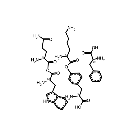 NC(=O)CC[C@H](N)C(=O)OC(=O)[C@@H](N)Cc1c[nH]c2ccccc12.NCCCC[C@H](N)C(=O)Oc1ccc(C[C@H](N)C(=O)O)cc1.N[C@@H](Cc1ccccc1)C(=O)O